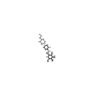 CCC[C@H]1CC[C@H](c2ccc(COc3cc(F)c(F)c(F)c3F)cc2)CC1